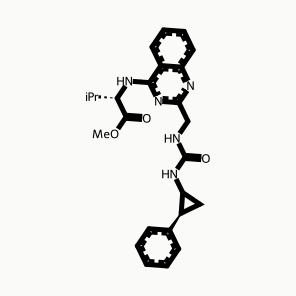 COC(=O)[C@@H](Nc1nc(CNC(=O)NC2C[C@H]2c2ccccc2)nc2ccccc12)C(C)C